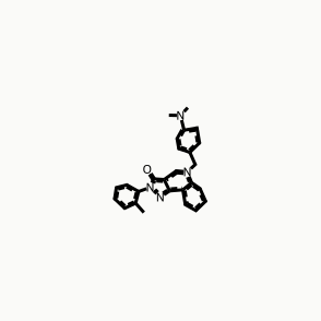 Cc1ccccc1-n1nc2c3ccccc3n(Cc3ccc(N(C)C)cc3)cc-2c1=O